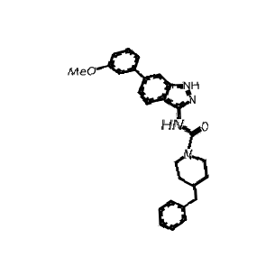 COc1cccc(-c2ccc3c(NC(=O)N4CCC(Cc5ccccc5)CC4)n[nH]c3c2)c1